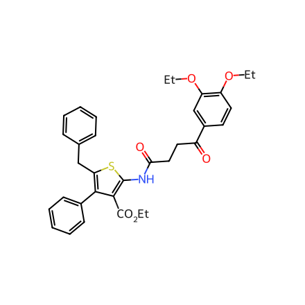 CCOC(=O)c1c(NC(=O)CCC(=O)c2ccc(OCC)c(OCC)c2)sc(Cc2ccccc2)c1-c1ccccc1